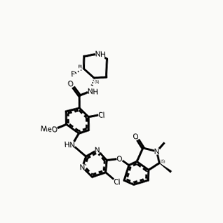 COc1cc(C(=O)N[C@H]2CCNC[C@H]2F)c(Cl)cc1Nc1ncc(Cl)c(Oc2cccc3c2C(=O)N(C)[C@H]3C)n1